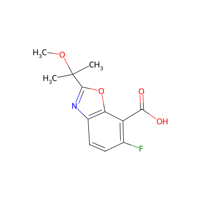 COC(C)(C)c1nc2ccc(F)c(C(=O)O)c2o1